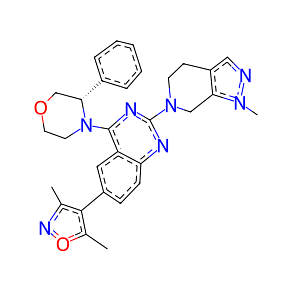 Cc1noc(C)c1-c1ccc2nc(N3CCc4cnn(C)c4C3)nc(N3CCOC[C@@H]3c3ccccc3)c2c1